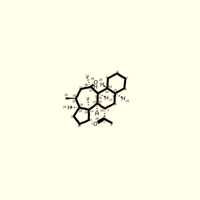 CC(=O)[C@H]1C[C@@H]2CCCC[C@@H]2[C@H]2[C@@H]1[C@@]1(C)CCC[C@H]1[C@@H](C)C[C@@]2(C)O